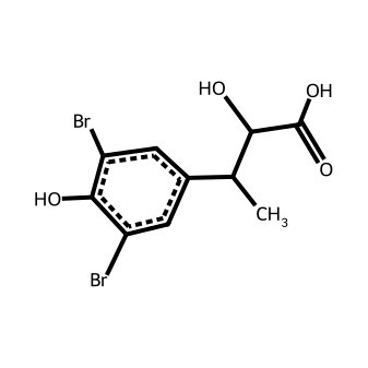 CC(c1cc(Br)c(O)c(Br)c1)C(O)C(=O)O